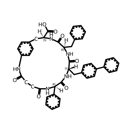 O=C1CCC(=O)N[C@H](c2ccccc2)C(=O)N[C@@H](Cc2ccc(-c3ccccc3)cc2)C(=O)N[C@H](Cc2ccccc2)C(=O)N[C@H](C(=O)O)Cc2ccc(cc2)N1